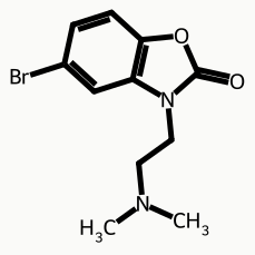 CN(C)CCn1c(=O)oc2ccc(Br)cc21